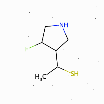 CC(S)C1CNCC1F